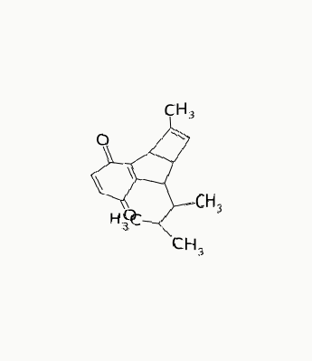 CC1=CC2C1C1=C(C(=O)C=CC1=O)C2C(C)C(C)C